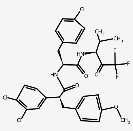 COc1ccc(C[C@H](C(=O)N[C@@H](Cc2ccc(Cl)cc2)C(=O)N[C@H](C(=O)C(F)(F)F)C(C)C)c2ccc(Cl)c(Cl)c2)cc1